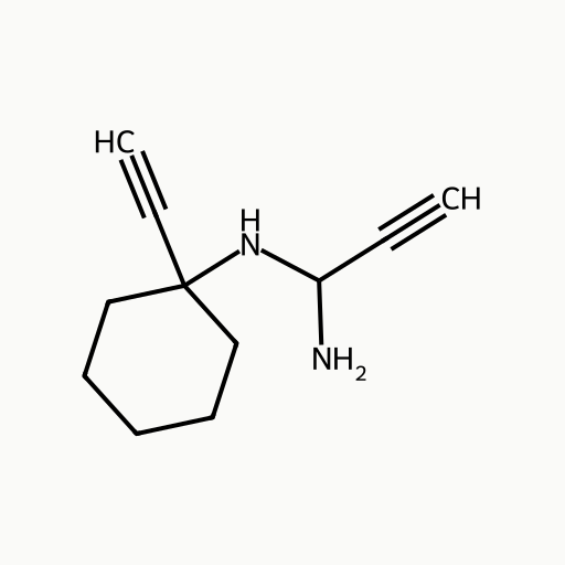 C#CC(N)NC1(C#C)CCCCC1